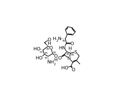 CC1=C(C(=O)O)N2C(=O)[C@@H](NC(=O)[C@H](N)c3ccccc3)[C@H]2SC1.N[C@@H]1[C@@H](O)[C@H](O)[C@@H](CO)O[C@H]1O